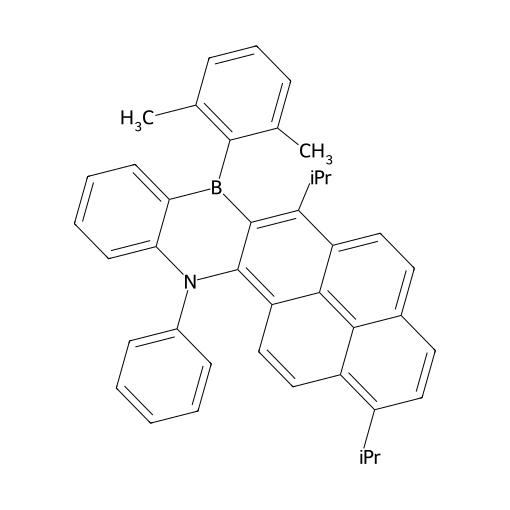 Cc1cccc(C)c1B1c2ccccc2N(c2ccccc2)c2c1c(C(C)C)c1ccc3ccc(C(C)C)c4ccc2c1c34